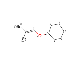 CCCCC(=COC1CCCCC1)CC